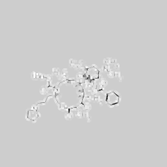 CO[C@]1(C)C[C@@H](C)CN(C(=O)OC(C)(C)C)[C@H](CCCN2CCCC2)COC(=O)C(C)C(=O)[C@H](C)[C@H]1O[C@@H]1O[C@H](C)C[C@H](N(C)C)[C@H]1OC(=O)c1ccccc1